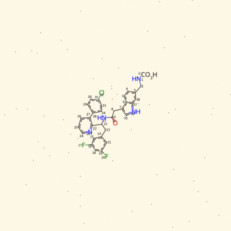 O=C(O)NCc1ccc2c(CC(=O)NC(Cc3cc(F)cc(F)c3)c3ncccc3-c3ccc(Cl)cc3)c[nH]c2c1